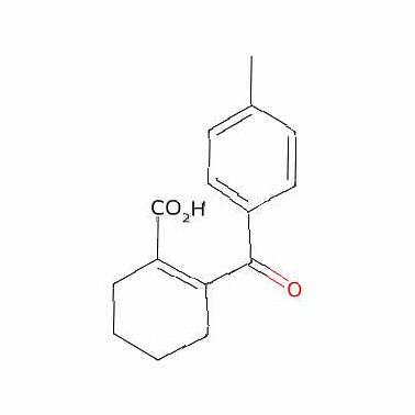 Cc1ccc(C(=O)C2=C(C(=O)O)CCCC2)cc1